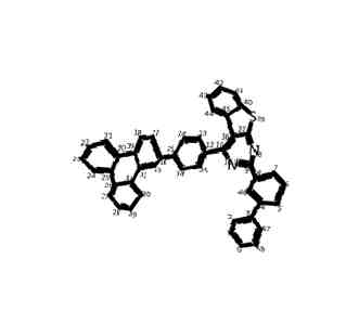 c1ccc(-c2cccc(-c3nc(-c4ccc(-c5ccc6c7ccccc7c7ccccc7c6c5)cc4)c4c(n3)sc3ccccc34)c2)cc1